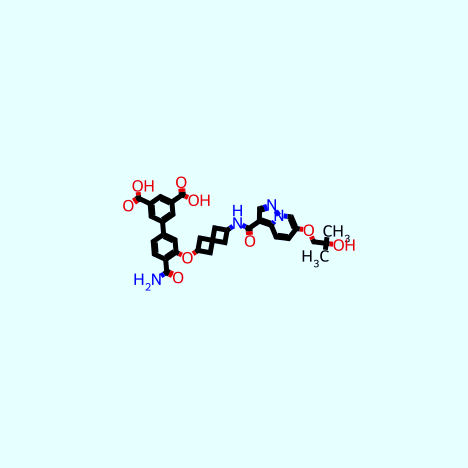 CC(C)(O)COc1ccc2c(C(=O)NC3CC4(C3)CC(Oc3cc(-c5cc(C(=O)O)cc(C(=O)O)c5)ccc3C(N)=O)C4)cnn2c1